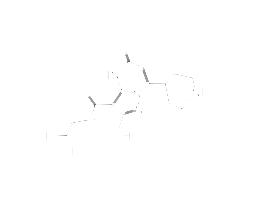 Cc1nn2c(C3CCNCC3)cc(=O)[nH]c2c1C(=O)OCC(F)F.Cl